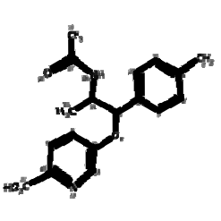 Cc1ccc(C(Oc2ccc(C(=O)O)nc2)C(C)NC(=O)C(F)(F)F)cc1